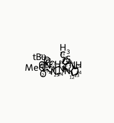 COC(=O)C(CN1CCN(C2=Nc3ccccc3Nc3sc(C)cc32)CC1)N(C)C(=O)OC(C)(C)C